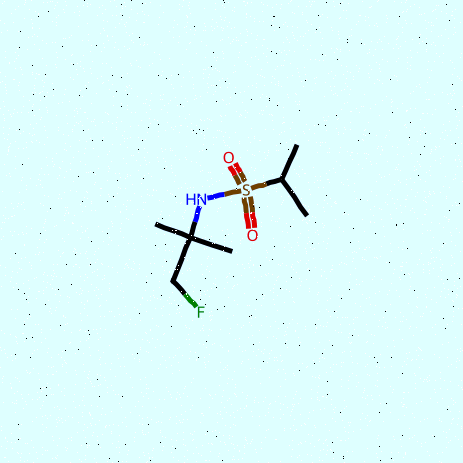 CC(C)S(=O)(=O)NC(C)(C)CF